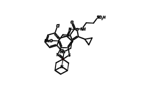 COc1cc(C(=O)NCCS(=O)(=O)O)cc2sc(N3C4CC(NCc5c(-c6c(Cl)cccc6Cl)noc5C5CC5)CC3C4)nc12